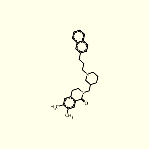 Cc1cc2c(cc1C)C(=O)N(CC1CCCN(CCCc3ccc4ccccc4c3)C1)CC2